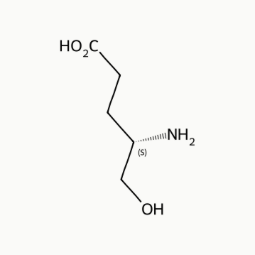 N[C@H](CO)CCC(=O)O